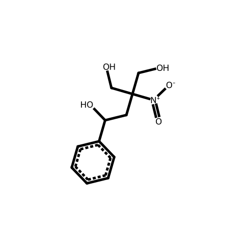 O=[N+]([O-])C(CO)(CO)CC(O)c1ccccc1